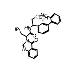 CC(C)CC(C(=O)NC(CC(=O)O)c1cccc(-c2ccccc2C#N)c1)n1cnc2ccccc2c1=O